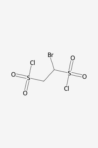 O=S(=O)(Cl)CC(Br)S(=O)(=O)Cl